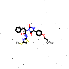 CCSc1csc(NC(=O)[C@H]([C@@H](C)c2ccccc2)N2C(=O)NC(c3ccc(OCCOC)cc3)C2=O)n1